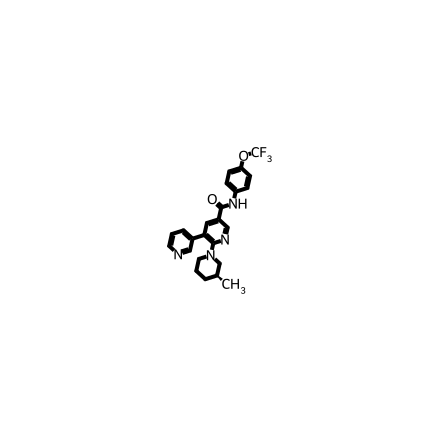 C[C@H]1CCCN(c2ncc(C(=O)Nc3ccc(OC(F)(F)F)cc3)cc2-c2cccnc2)C1